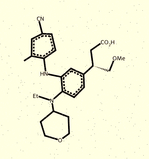 CCN(c1ccc([C@@H](COC)CC(=O)O)cc1Nc1ccc(C#N)cc1C)C1CCOCC1